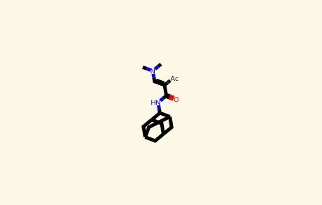 CC(=O)C(=CN(C)C)C(=O)NC1C2CC3CC(C2)CC1C3